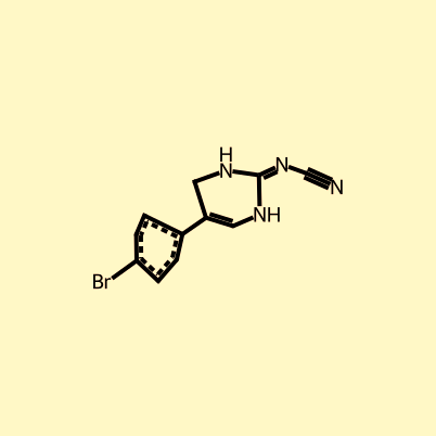 N#CN=C1NC=C(c2ccc(Br)cc2)CN1